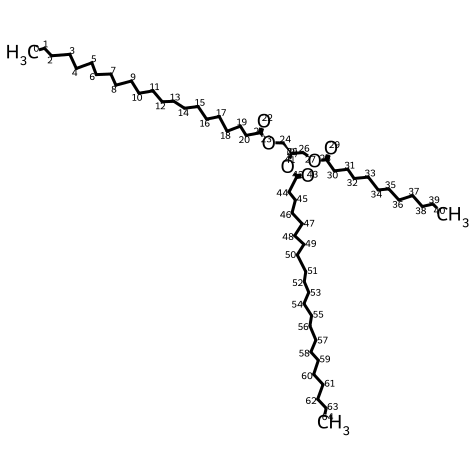 CCCCCCCCCCCCCCCCCCCCCC(=O)OC[C@@H](COC(=O)CCCCCCCCCCC)OC(=O)CCCCCCCCCCCCCCCCCCCCC